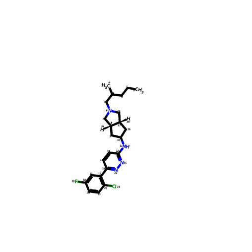 CCCC(C)CN1C[C@H]2CC(Nc3ccc(-c4cc(F)ccc4Cl)nn3)C[C@H]2C1